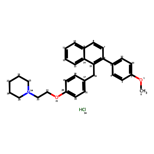 COc1ccc(-c2ccc3ccccc3c2Cc2ccc(OCCN3CCCCC3)cc2)cc1.Cl